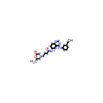 C#Cc1cccc(Nc2ncnc3ccc(NC(=O)/C=C/CN4CC(=O)O[C@H](C)C4)cc23)c1